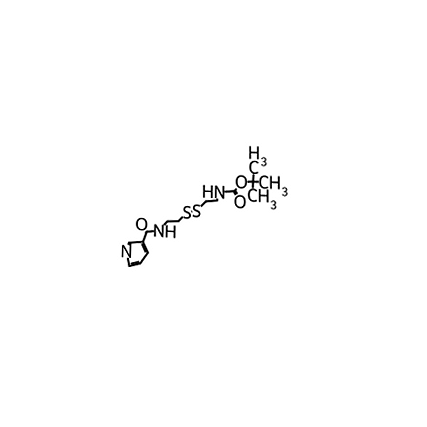 CC(C)(C)OC(=O)NCCSSCCNC(=O)c1cccnc1